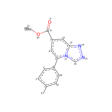 Cc1ccc(-c2cc(C(=O)OC(C)(C)C)cc3nncn23)cc1